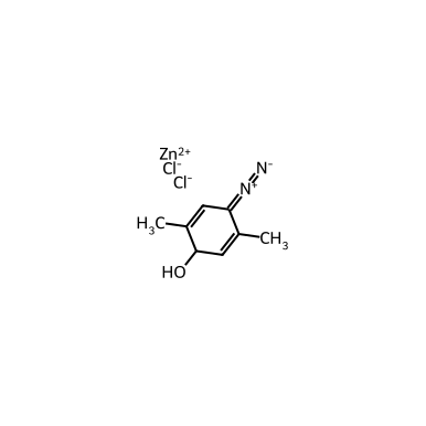 CC1=CC(O)C(C)=CC1=[N+]=[N-].[Cl-].[Cl-].[Zn+2]